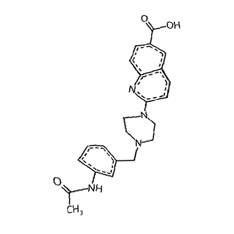 CC(=O)Nc1cccc(CN2CCN(c3ccc4cc(C(=O)O)ccc4n3)CC2)c1